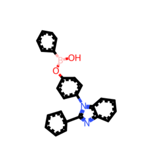 OB(Oc1ccc(-n2c(-c3ccccc3)nc3ccccc32)cc1)c1ccccc1